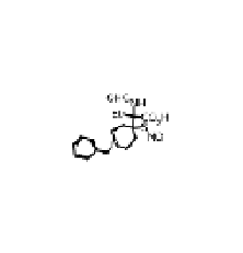 CCC(NC=O)(C(=O)O)C1(SN=O)CCN(Cc2ccccc2)CC1